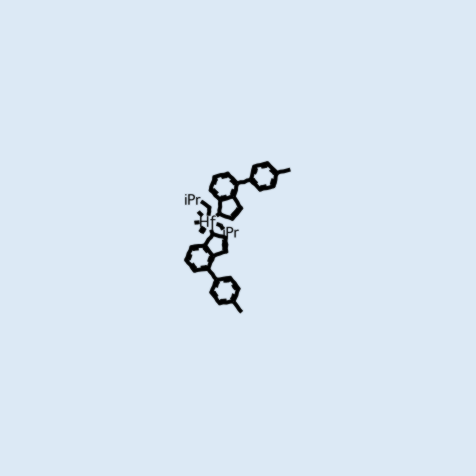 [CH2]=[Hf]([CH3])([CH3])([CH2]C(C)C)([CH2]C(C)C)([CH]1C=Cc2c(-c3ccc(C)cc3)cccc21)[CH]1C=Cc2c(-c3ccc(C)cc3)cccc21